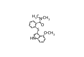 COc1cccc2[nH]cc(Sc3ccccc3C(=O)N(C)C)c12